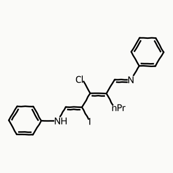 CCCC(/C=N/c1ccccc1)=C(Cl)\C(I)=C\Nc1ccccc1